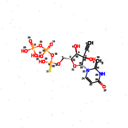 C#C[C@@]1(O)[C@H](O)[C@@H](CO[P@@](O)(=S)OP(=O)(O)OP(=O)(O)O)O[C@H]1N1C=CC(=O)NC1=C